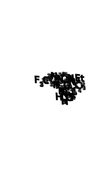 CCc1cccc2c1-n1nc3c(c1C1(C)C2=CC(C)(F)c2[nH]ncc21)CN(c1ncc(C(F)(F)F)cc1F)CC3